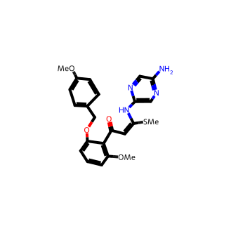 COc1ccc(COc2cccc(OC)c2C(=O)/C=C(\Nc2cnc(N)cn2)SC)cc1